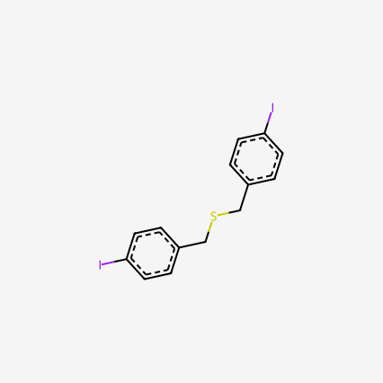 Ic1ccc(CSCc2ccc(I)cc2)cc1